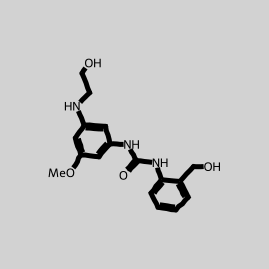 COc1cc(NCCO)cc(NC(=O)Nc2ccccc2CO)c1